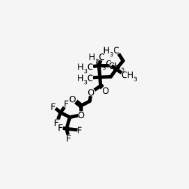 CCC(C)(C)CC(C)(C(=O)OCC(=O)OC(C(F)(F)F)C(F)(F)F)C(C)(C)C